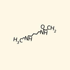 C=CC(=O)NCCCCCNCC